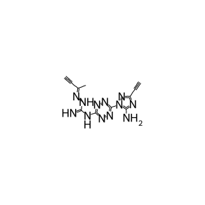 C#C/C(C)=N/NC(=N)Nc1nnc(-n2nc(C#C)nc2N)nn1